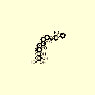 CC1(C)[C@@H](O[C@@H]2O[C@H](CO)[C@@H](O)[C@H](O)[C@H]2O)CC[C@]2(C)[C@H]3C(=O)C=C4[C@@H]5C[C@@](C)(C(=O)N6CCN(c7ccccc7C(F)(F)F)CC6)CC[C@]5(C)CC[C@@]4(C)[C@]3(C)CC[C@@H]12